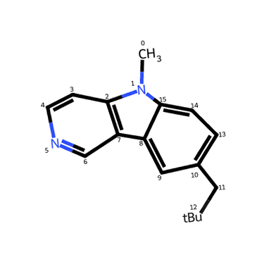 Cn1c2ccncc2c2cc(CC(C)(C)C)ccc21